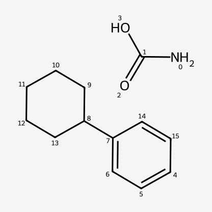 NC(=O)O.c1ccc(C2CCCCC2)cc1